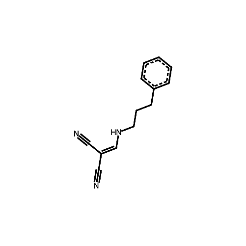 N#CC(C#N)=CNCCCc1ccccc1